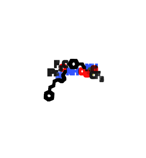 CC(C)n1c(CCCc2ccccc2)ccc1C(=O)Nc1cc(CC(=O)NS(=O)(=O)C(F)(F)F)ccc1C(F)(F)F